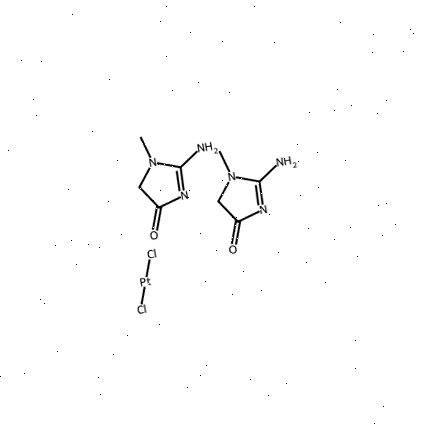 CN1CC(=O)N=C1N.CN1CC(=O)N=C1N.[Cl][Pt][Cl]